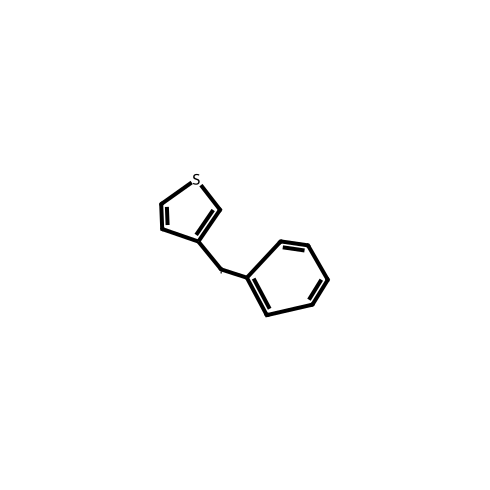 [CH](c1ccccc1)c1ccsc1